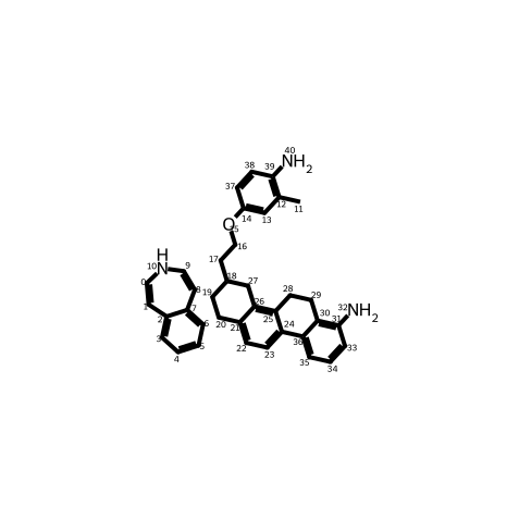 C1=Cc2ccccc2C=CN1.Cc1cc(OCCC2CCc3ccc4c(c3C2)CCc2c(N)cccc2-4)ccc1N